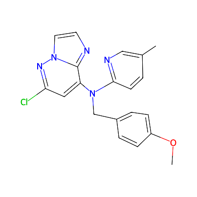 COc1ccc(CN(c2ccc(C)cn2)c2cc(Cl)nn3ccnc23)cc1